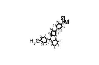 Cc1ccc(C2c3ccccc3-c3cc(-c4ccc(N(Cl)Cl)cc4)ccc32)cc1